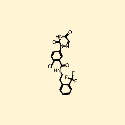 O=C(NCCc1ccccc1C(F)(F)F)c1cc(-n2ncc(=O)[nH]c2=O)ccc1Cl